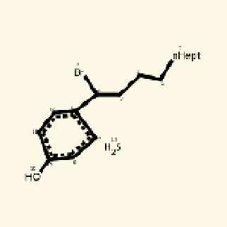 CCCCCCCCCCC(Br)c1ccc(O)cc1.S